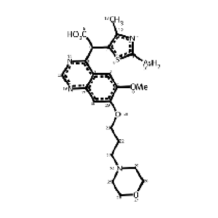 COc1cc2c(C(C(=O)O)c3sc([AsH2])nc3C)ncnc2cc1OCCCN1CCOCC1